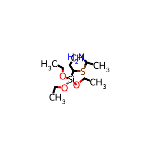 CCO[Si](OCC)(OCC)C(CC)SC(C)N